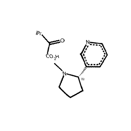 CC(C)C(=O)C(=O)O.CN1CCC[C@H]1c1cccnc1